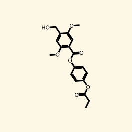 CCC(=O)Oc1ccc(OC(=O)c2cc(OC)c(CO)cc2OC)cc1